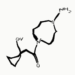 NN1CCN(C(=O)C2(O)CC2)CC1